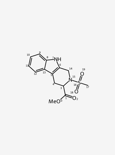 COC(=O)C1Cc2c([nH]c3ccccc23)CN1S(C)(=O)=O